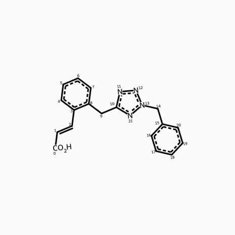 O=C(O)C=Cc1ccccc1Cc1nnn(Cc2ccccc2)n1